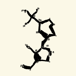 O=Cc1cnn(-c2cccc(C(F)(F)F)c2)c1Cl